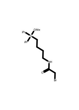 CO[Si](CCCCNC(=O)CBr)(C(C)C)C(C)C